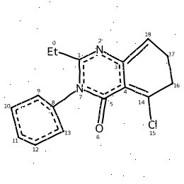 CCc1nc2c(c(=O)n1-c1ccccc1)=C(Cl)CCC=2